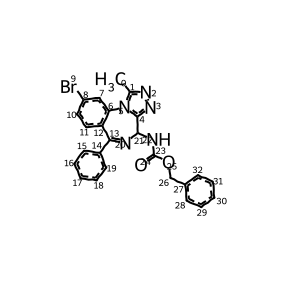 Cc1nnc2n1-c1cc(Br)ccc1C(c1ccccc1)=NC2NC(=O)OCc1ccccc1